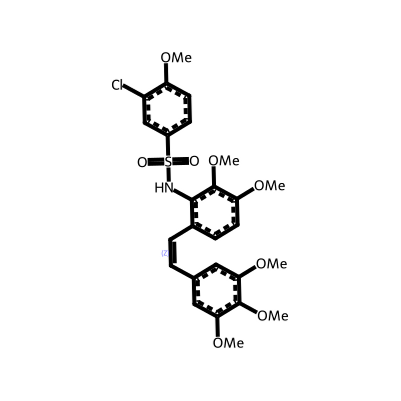 COc1ccc(S(=O)(=O)Nc2c(/C=C\c3cc(OC)c(OC)c(OC)c3)ccc(OC)c2OC)cc1Cl